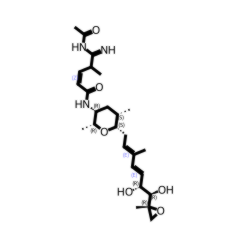 CC(=O)NC(=N)C(C)/C=C\C(=O)N[C@@H]1C[C@H](C)[C@H](C/C=C(C)/C=C/[C@@H](O)[C@@H](O)[C@@]2(C)CO2)O[C@@H]1C